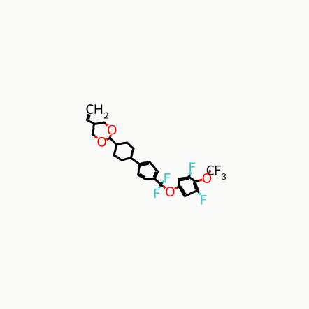 C=CC1COC(C2CCC(c3ccc(C(F)(F)Oc4cc(F)c(OC(F)(F)F)c(F)c4)cc3)CC2)OC1